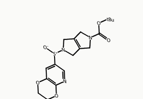 CC(C)(C)OC(=O)N1CC2=C(C1)CN([S+]([O-])c1cnc3c(c1)OCCO3)C2